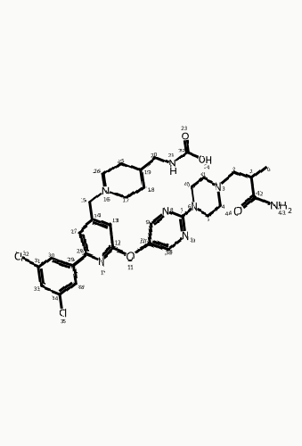 CC(CN1CCN(c2ncc(Oc3cc(CN4CCC(CNC(=O)O)CC4)cc(-c4cc(Cl)cc(Cl)c4)n3)cn2)CC1)C(N)=O